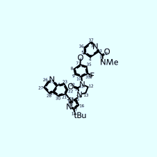 CNC(=O)c1cc(Oc2ccc(N3CCN(c4cc(C(C)(C)C)nn4-c4ccc5ncccc5c4)C3=O)c(F)c2)ccn1